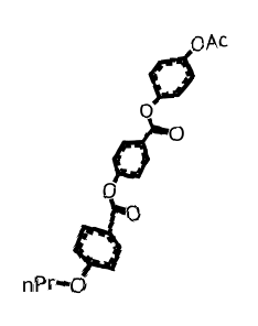 CCCOc1ccc(C(=O)Oc2ccc(C(=O)Oc3ccc(OC(C)=O)cc3)cc2)cc1